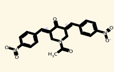 CC(=O)N1C/C(=C\c2ccc([N+](=O)[O-])cc2)C(=O)/C(=C/c2ccc([N+](=O)[O-])cc2)C1